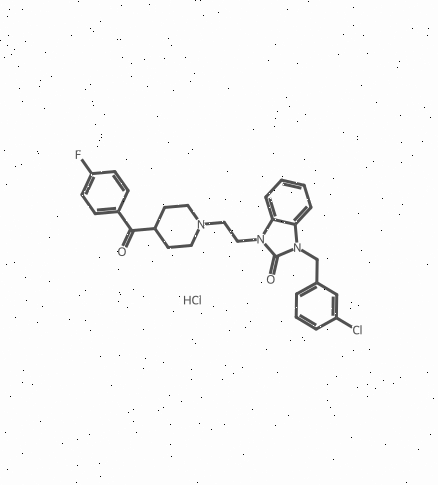 Cl.O=C(c1ccc(F)cc1)C1CCN(CCn2c(=O)n(Cc3cccc(Cl)c3)c3ccccc32)CC1